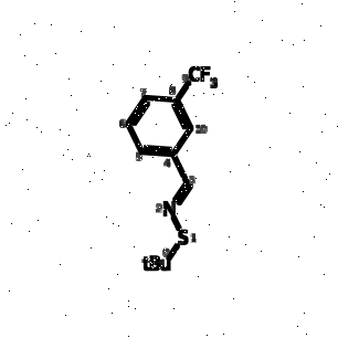 CC(C)(C)SN=Cc1cccc(C(F)(F)F)c1